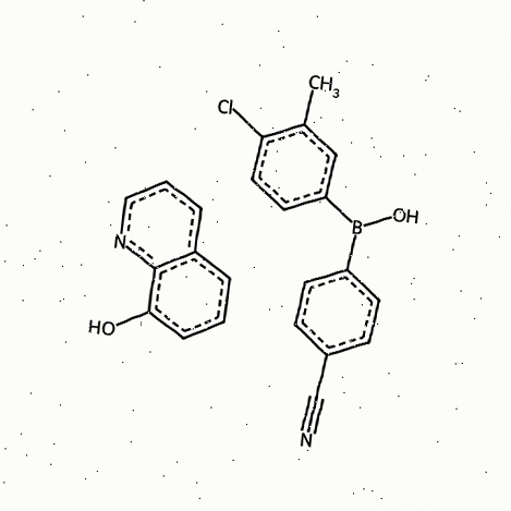 Cc1cc(B(O)c2ccc(C#N)cc2)ccc1Cl.Oc1cccc2cccnc12